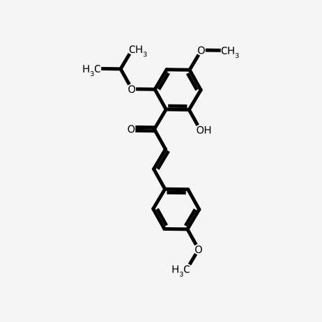 COc1ccc(/C=C/C(=O)c2c(O)cc(OC)cc2OC(C)C)cc1